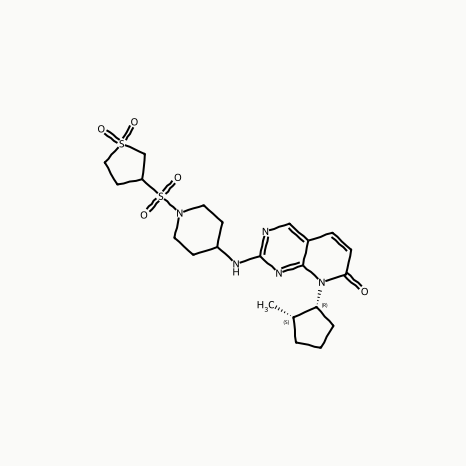 C[C@H]1CCC[C@H]1n1c(=O)ccc2cnc(NC3CCN(S(=O)(=O)C4CCS(=O)(=O)C4)CC3)nc21